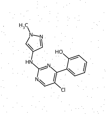 Cn1cc(Nc2ncc(Cl)c(-c3ccccc3O)n2)cn1